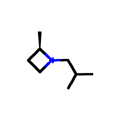 CC(C)CN1CC[C@@H]1C